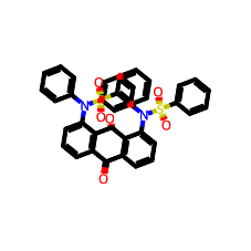 O=C1c2cccc(N(c3ccccc3)S(=O)(=O)c3ccccc3)c2C(=O)c2c1cccc2N(c1ccccc1)S(=O)(=O)c1ccccc1